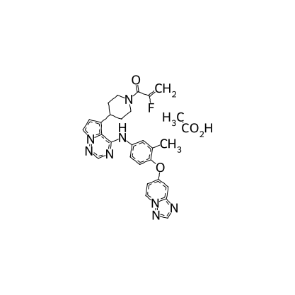 C=C(F)C(=O)N1CCC(c2ccn3ncnc(Nc4ccc(Oc5ccn6ncnc6c5)c(C)c4)c23)CC1.CC(=O)O